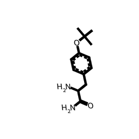 CC(C)(C)Oc1ccc(CC(N)C(N)=O)cc1